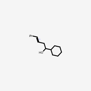 CC(C)/C=C/CC(O)C1CCCCC1